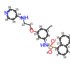 Cc1cc(NS(=O)(=O)c2cccc3ccccc23)cc(OCCNc2ccncc2)c1